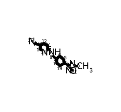 Cc1nc(-c2ccc(CNc3ccc(C#N)cn3)cc2)no1